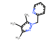 Cc1nn(Cc2ccccn2)c(C)c1C